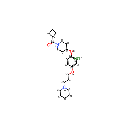 Cl.O=C(C1CCC1)N1CCC(Oc2ccc(OCCCN3CCCCC3)cc2)CC1